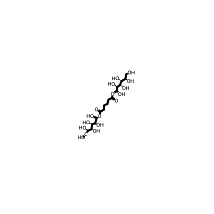 O=C(CCCCC(=O)OC(O)[C@@H](O)[C@@H](O)[C@H](O)[C@H](O)CO)OC(O)[C@@H](O)[C@@H](O)[C@H](O)[C@H](O)CO